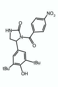 CC(C)(C)c1cc(C2CNC(=O)N2C(=O)c2ccc([N+](=O)[O-])cc2)cc(C(C)(C)C)c1O